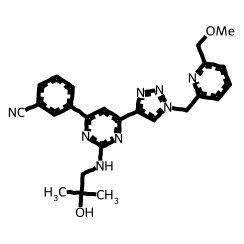 COCc1cccc(Cn2cc(-c3cc(-c4cccc(C#N)c4)nc(NCC(C)(C)O)n3)nn2)n1